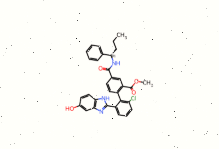 CCC[C@@H](NC(=O)c1ccc(-c2c(Cl)cccc2-c2nc3cc(O)ccc3[nH]2)c(C(=O)OC)c1)c1ccccc1